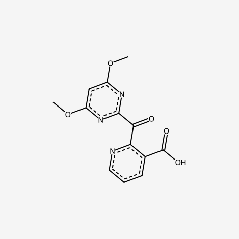 COc1cc(OC)nc(C(=O)c2ncccc2C(=O)O)n1